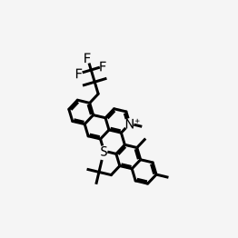 Cc1ccc2c(CC(C)(C)C)c3c(c(C)c2c1)-c1c2c(cc4cccc(CC(C)(C)C(F)(F)F)c4c2cc[n+]1C)S3